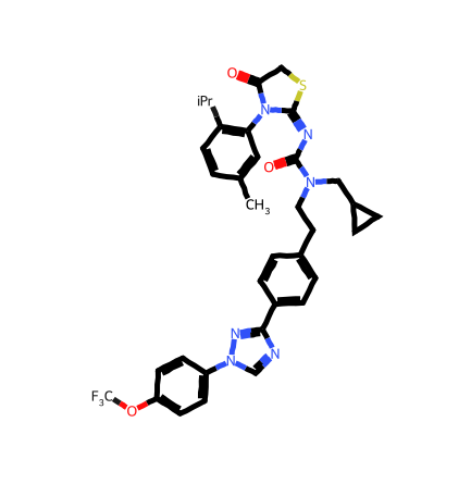 Cc1ccc(C(C)C)c(N2C(=O)CS/C2=N/C(=O)N(CCc2ccc(-c3ncn(-c4ccc(OC(F)(F)F)cc4)n3)cc2)CC2CC2)c1